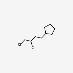 ClCC(Cl)CCC1CCCC1